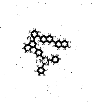 c1ccc(C2=NC(c3ccc(-c4cc5c(oc6cccc(-c7ccc8cc(-c9ccc%10ccccc%10c9)ccc8c7)c65)c5ccccc45)cc3)NC(c3ccccc3)=N2)cc1